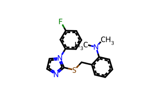 CN(C)c1ccccc1CSc1nccn1-c1cccc(F)c1